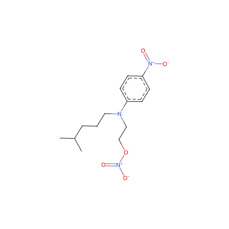 CC(C)CCCN(CCO[N+](=O)[O-])c1ccc([N+](=O)[O-])cc1